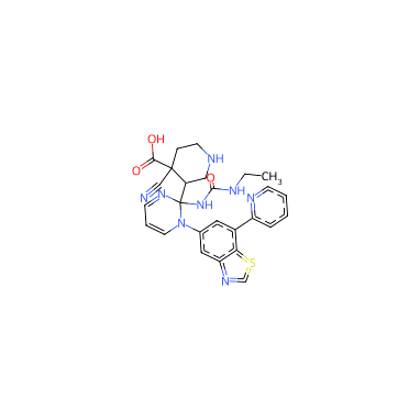 CCNC(=O)NC1(C2CNCCC2(C#N)C(=O)O)N=CC=CN1c1cc(-c2ccccn2)c2scnc2c1